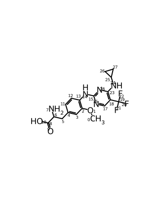 COc1cc(CC(N)C(=O)O)ccc1Nc1ncc(C(F)(F)F)c(NC2CC2)n1